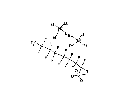 CC[N+](CC)(CC)CC.CC[N+](CC)(CC)CC.O=S([O-])([O-])(F)C(F)(F)C(F)(F)C(F)(F)C(F)(F)C(F)(F)C(F)(F)C(F)(F)C(F)(F)F